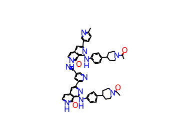 CC(=O)N1CCC(c2ccc(Nc3nc(-c4ccc(C)nc4)cc4cc[nH]c(=O)c34)cc2)CC1.CC(=O)N1CCC(c2ccc(Nc3nc(-c4cncc(C#N)c4)cc4cc[nH]c(=O)c34)cc2)CC1